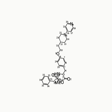 COC(=O)C(Cc1ccc(OCCC2CCN(c3ccncc3)CC2)cc1)NS(=O)(=O)Cc1ccccc1